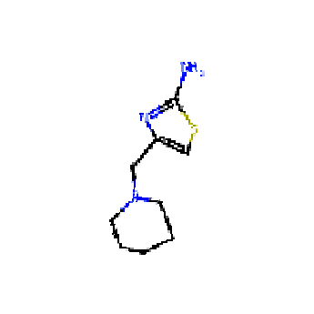 Nc1nc(CN2CCCCC2)cs1